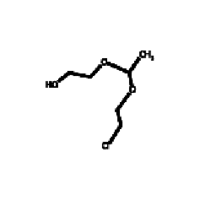 CC(OCCO)OCCCl